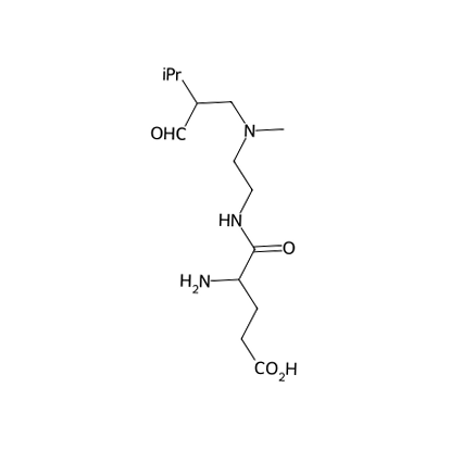 CC(C)C(C=O)CN(C)CCNC(=O)C(N)CCC(=O)O